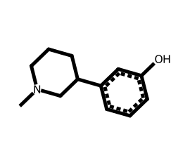 CN1CCCC(c2cccc(O)c2)C1